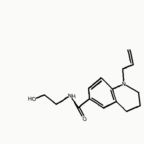 C=CCN1CCCc2cc(C(=O)NCCO)ccc21